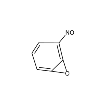 O=Nc1cccc2c1O2